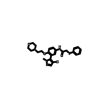 Cn1ncc(Cl)c1-c1cc(NC(=O)CSc2ccccc2)ccc1OCCN1CCOCC1